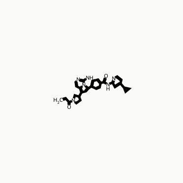 C=CC(=O)N1CCC(c2cc(-c3ccc(C(=O)Nc4cc(C5CC5)ccn4)cc3)n3c(N)nccc23)C1